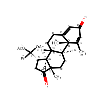 CCC(OC(C)=O)(OC(C)=O)[C@H]1CC(=O)[C@@]2(C)CC[C@H]3[C@@H](CCC4=CC(=O)C=C(C)[C@@]43C)[C@H]12